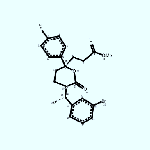 COC(=O)CC[C@]1(c2ccc(F)cc2)CCN([C@@H](C)c2cccc(Br)c2)C(=O)O1